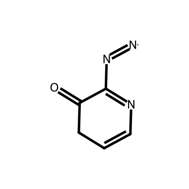 [N]=NC1=NC=CCC1=O